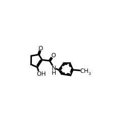 Cc1ccc(NC(=O)C2=C(O)CCC2=O)cc1